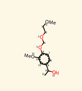 COCCOCOc1ccc(C(C)O)cc1OC